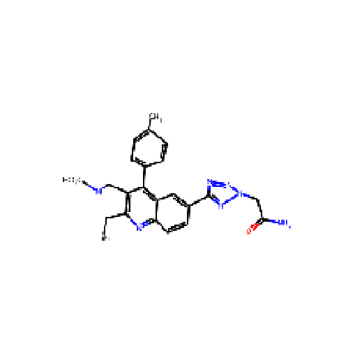 Cc1ccc(-c2c(CNC(=O)O)c(CC(C)C)nc3ccc(-c4nnn(CC(N)=O)n4)cc23)cc1